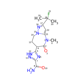 CN1C(=O)C(c2nc(C(N)=O)n[nH]2)CCn2nc(C(C)(C)F)cc21